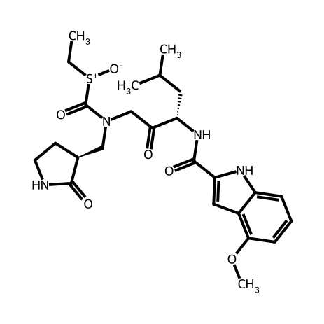 CC[S+]([O-])C(=O)N(CC(=O)[C@H](CC(C)C)NC(=O)c1cc2c(OC)cccc2[nH]1)C[C@@H]1CCNC1=O